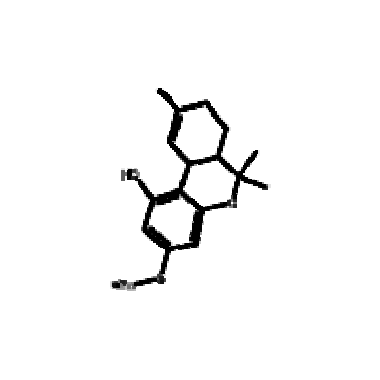 CCCCSc1cc(O)c2c(c1)OC(C)(C)C1CCC(C)=CC21